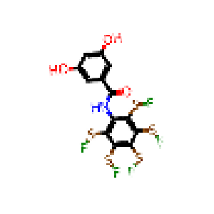 O=C(Nc1c(SF)c(SF)c(SF)c(SF)c1SF)c1cc(O)cc(O)c1